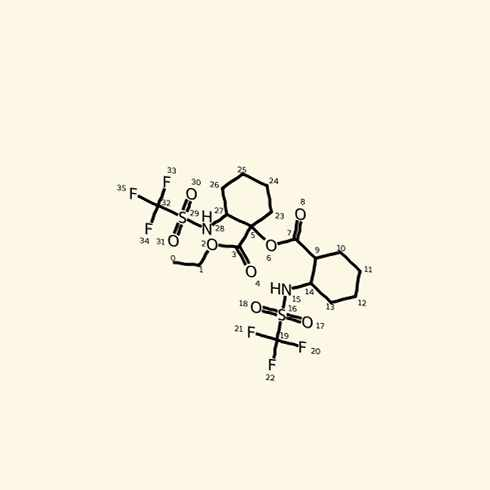 CCOC(=O)C1(OC(=O)C2CCCCC2NS(=O)(=O)C(F)(F)F)CCCCC1NS(=O)(=O)C(F)(F)F